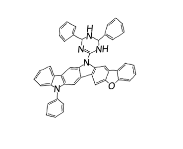 c1ccc(C2N=C(n3c4cc5c(cc4c4cc6c(cc43)c3ccccc3n6-c3ccccc3)oc3ccccc35)NC(c3ccccc3)N2)cc1